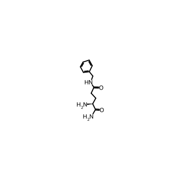 NC(=O)[C@@H](N)CCC(=O)NCc1ccccc1